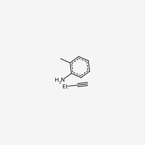 C#CCC.Cc1ccccc1N